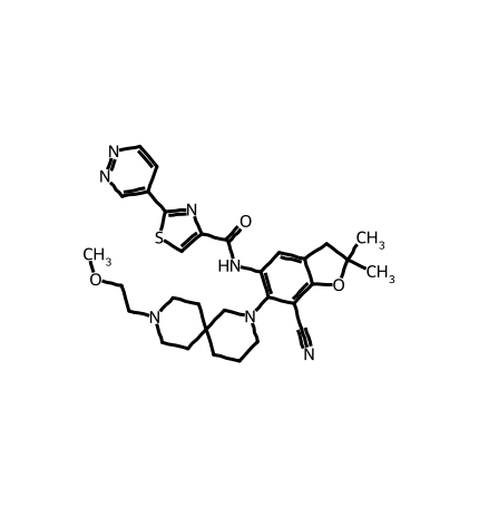 COCCN1CCC2(CCCN(c3c(NC(=O)c4csc(-c5ccnnc5)n4)cc4c(c3C#N)OC(C)(C)C4)C2)CC1